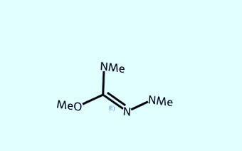 CN/N=C(\NC)OC